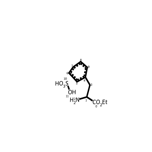 CCOC(=O)C(N)Cc1ccccc1.O=S(=O)(O)O